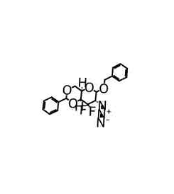 [N-]=[N+]=N[C@H]1C(OCc2ccccc2)O[C@@H]2COC(c3ccccc3)O[C@H]2C1(F)F